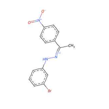 C/C(=N/Nc1cccc(Br)c1)c1ccc([N+](=O)[O-])cc1